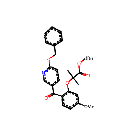 COc1ccc(C(=O)c2ccc(OCc3ccccc3)nc2)c(OC(C)(C)C(=O)OC(C)(C)C)c1